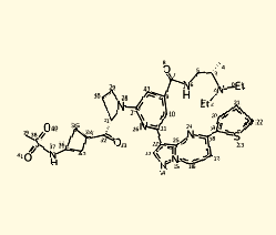 CCN(CC)[C@@H](C)CNC(=O)c1cc(-c2cnn3ccc(-c4cccs4)nc23)nc(N2CC[C@H]2C(=O)C2CC(NS(C)(=O)=O)C2)c1